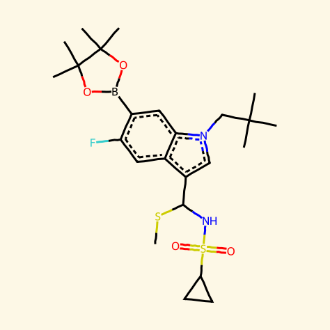 CSC(NS(=O)(=O)C1CC1)c1cn(CC(C)(C)C)c2cc(B3OC(C)(C)C(C)(C)O3)c(F)cc12